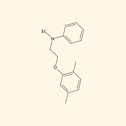 CCN(CCOc1cc(C)ccc1C)c1ccccc1